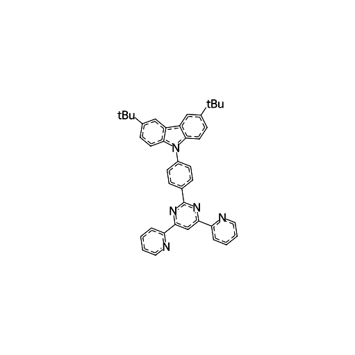 CC(C)(C)c1ccc2c(c1)c1cc(C(C)(C)C)ccc1n2-c1ccc(-c2nc(-c3ccccn3)cc(-c3ccccn3)n2)cc1